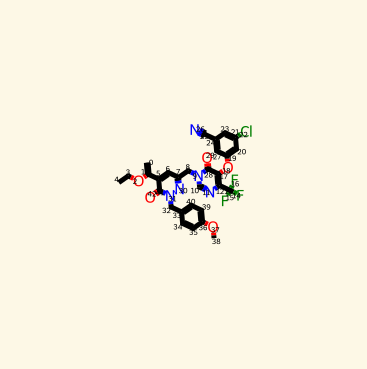 C=C(OCC)c1cc(Cn2cnc(C(F)(F)F)c(Oc3cc(Cl)cc(C#N)c3)c2=O)nn(Cc2ccc(OC)cc2)c1=O